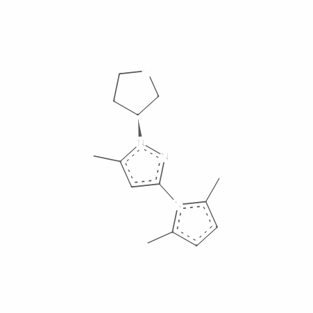 Cc1cc(-n2c(C)ccc2C)nn1[C@H]1CCOC1